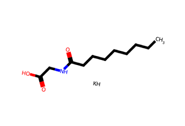 CCCCCCCCC(=O)NCC(=O)O.[KH]